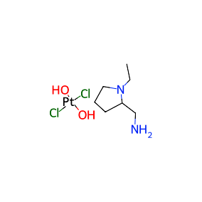 CCN1CCCC1CN.[OH][Pt]([OH])([Cl])[Cl]